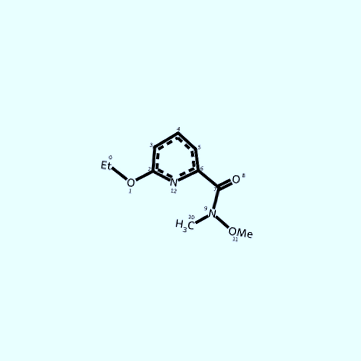 CCOc1cccc(C(=O)N(C)OC)n1